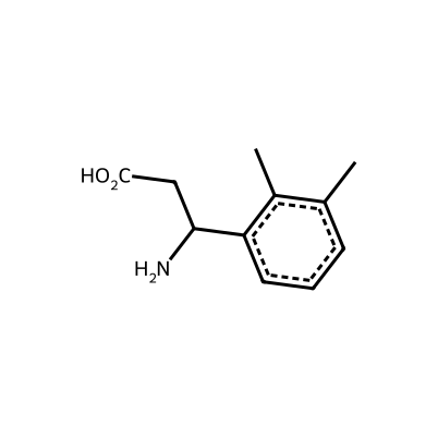 Cc1cccc(C(N)CC(=O)O)c1C